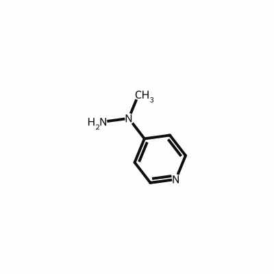 CN(N)c1ccncc1